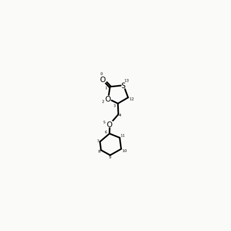 O=C1OC(COC2CCCCC2)CS1